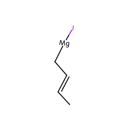 CC=C[CH2][Mg][I]